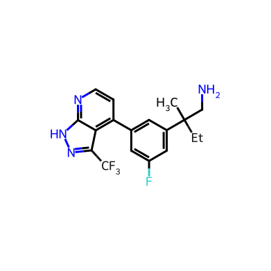 CCC(C)(CN)c1cc(F)cc(-c2ccnc3[nH]nc(C(F)(F)F)c23)c1